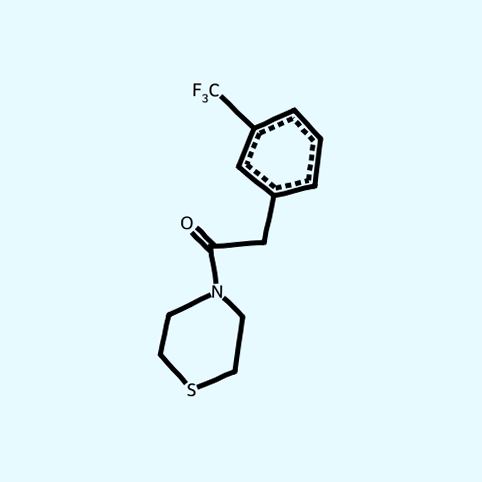 O=C(Cc1cccc(C(F)(F)F)c1)N1CCSCC1